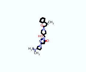 C[C@H](CC(=O)N1CCC(O)(Cn2cnc(N3CC[C@H](N(C)C)C3)cc2=O)CC1)c1ccccc1